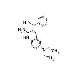 CCN(CC)c1ccc2c(c1)C=C(C(N)c1ccccc1)C(N)N2